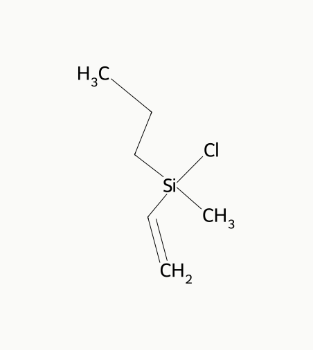 C=C[Si](C)(Cl)CCC